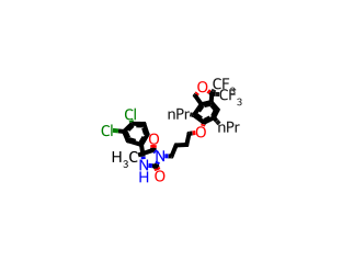 CCCc1cc2c(c(CCC)c1OCCCCN1C(=O)NC(C)(c3ccc(Cl)c(Cl)c3)C1=O)COC2(C(F)(F)F)C(F)(F)F